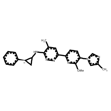 COc1nc(-c2cc(C)c(NC3C[C@H]3c3ccccc3)nn2)ccc1-n1cnc(C)c1